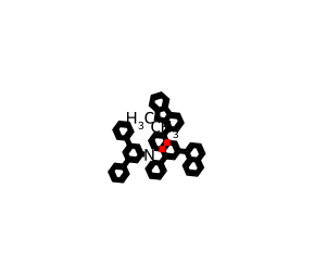 CC1(C)c2ccccc2-c2cccc(-c3ccc(N(c4cc(-c5ccccc5)cc(-c5ccccc5)c4)c4ccccc4-c4cccc(-c5cccc6ccccc56)c4)cc3)c21